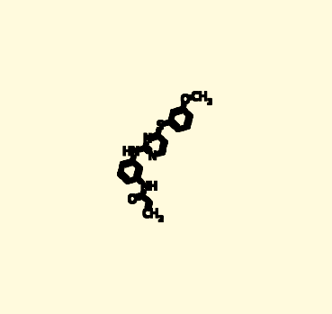 C=CC(=O)Nc1cccc(Nc2nccc(Sc3cccc(OC)c3)n2)c1